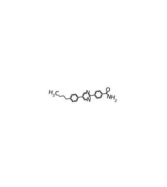 CCCCc1ccc(-c2cnc(-c3ccc(C(N)=O)cc3)nc2)cc1